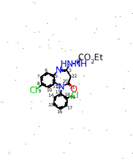 CCOC(=O)NNC1=Nc2ccc(Cl)cc2N(c2ccccc2Cl)C(=O)C1